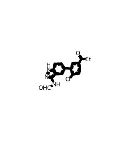 CCC(=O)c1ccc(Cl)c(-c2ccc3[nH]nc(NC=O)c3c2)c1